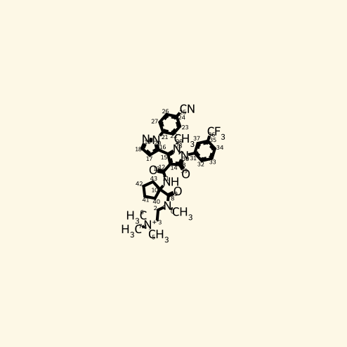 CN(CC[N+](C)(C)C)C(=O)C1(NC(=O)c2c(-c3ccnn3-c3ccc(C#N)cc3)n(C)n(-c3cccc(C(F)(F)F)c3)c2=O)CCCC1